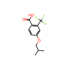 CC(C)COc1ccc(C(=O)O)c(C(F)(F)F)c1